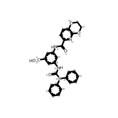 O=C(O)c1cc(NC(=O)c2ccc3c(n2)OCCO3)cc(NC(=O)N(c2ccccc2)c2ccccc2)c1